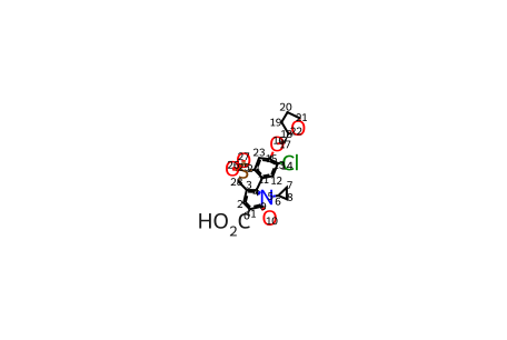 O=C(O)c1cc2c(n(C3CC3)c1=O)-c1cc(Cl)c(OC[C@H]3CCCO3)cc1S(=O)(=O)C2